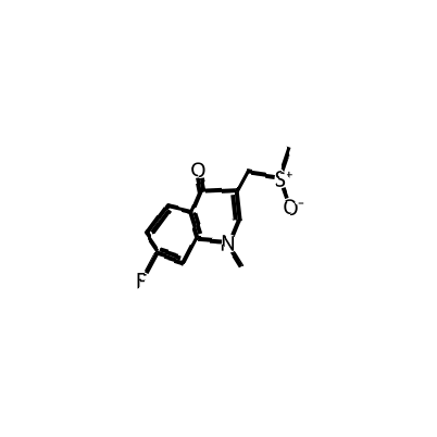 Cn1cc(C[S+](C)[O-])c(=O)c2ccc(F)cc21